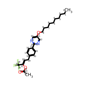 CCCCCCCCCCOc1cnc(-c2ccc(CC=C(OC(C)=O)C(F)(F)F)cc2)nc1